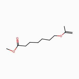 C=C(C)OCCCCCCC(=O)OC